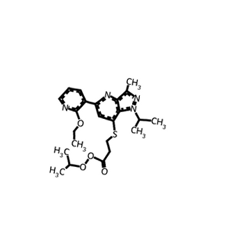 CCOc1ncccc1-c1cc(SCCC(=O)OOC(C)C)c2c(n1)c(C)nn2C(C)C